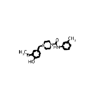 COc1cc(CN2CCN(C(=O)Nc3cccc(C)c3)CC2)ccc1O